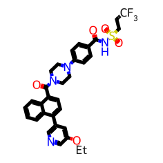 CCOc1cncc(-c2ccc(C(=O)N3CCN(c4ccc(C(=O)NS(=O)(=O)CCC(F)(F)F)cc4)CC3)c3ccccc23)c1